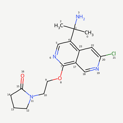 CC(C)(N)c1cnc(OCCN2CCCC2=O)c2cnc(Cl)cc12